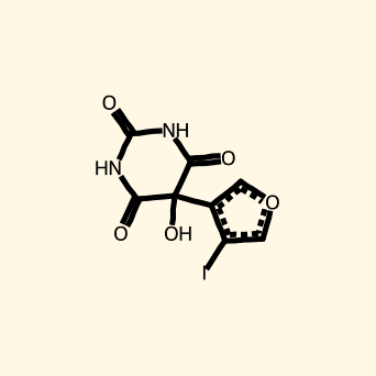 O=C1NC(=O)C(O)(c2cocc2I)C(=O)N1